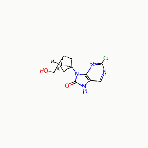 O=c1[nH]c2cnc(Cl)nc2n1C12CC(C1)[C@@H](CO)C2